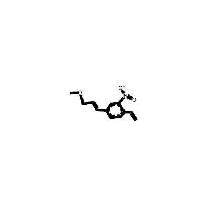 C=Cc1ccc(/C=C/COC)cc1[N+](=O)[O-]